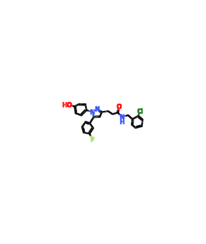 O=C(CCc1cc(-c2cccc(F)c2)n(-c2ccc(O)cc2)n1)NCc1ccccc1Cl